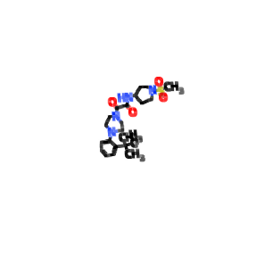 CC(C)(C)c1ccccc1N1CCN(C(=O)C(=O)NC2CCN(S(C)(=O)=O)CC2)CC1